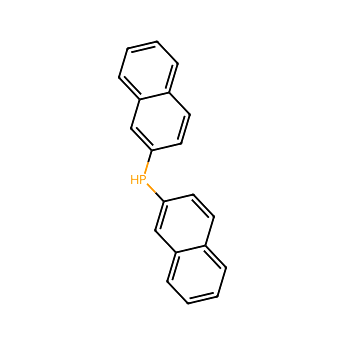 c1ccc2cc(Pc3ccc4ccccc4c3)ccc2c1